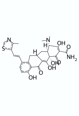 Cc1ncsc1/C=C/c1ccc(O)c2c1C[C@@H]1C[C@H]3[C@H](N(C)C)C(O)=C(C(N)=O)C(=O)[C@@]3(O)C(O)=C1C2=O